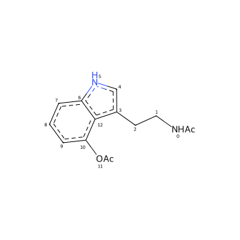 CC(=O)NCCc1c[nH]c2cccc(OC(C)=O)c12